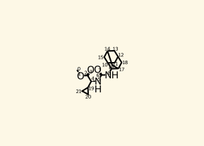 COC(=O)[C@@H](NC(=O)NC1C2CC3CC(C2)CC1C3)C1CC1